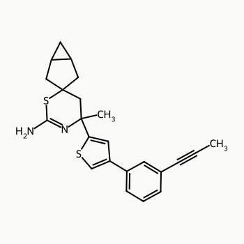 CC#Cc1cccc(-c2csc(C3(C)CC4(CC5CC5C4)SC(N)=N3)c2)c1